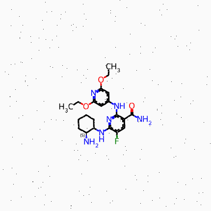 CCOc1cc(Nc2nc(NC3CCCC[C@@H]3N)c(F)cc2C(N)=O)cc(OCC)n1